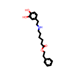 O=C(CCCCCNCCc1ccc(O)c(O)c1)OCCc1ccccc1